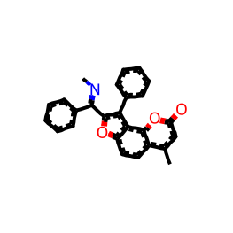 C/N=C(\c1ccccc1)c1oc2ccc3c(C)cc(=O)oc3c2c1-c1ccccc1